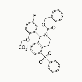 O=C(O)COc1ccc(F)cc1C1c2cccc(S(=O)(=O)c3ccccc3)c2CCN1C(=O)OCc1ccccc1